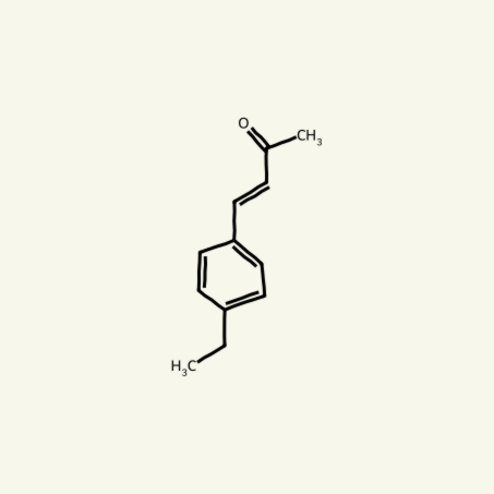 CCc1ccc(C=CC(C)=O)cc1